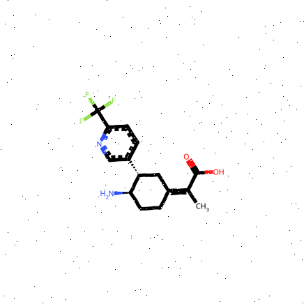 C/C(C(=O)O)=C1\CC[C@@H](N)[C@H](c2ccc(C(F)(F)F)nc2)C1